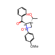 COc1ccc([N@+]2([O-])C[C@@H](C(C)O)[C@@H]2C(=O)c2ccccc2)cc1